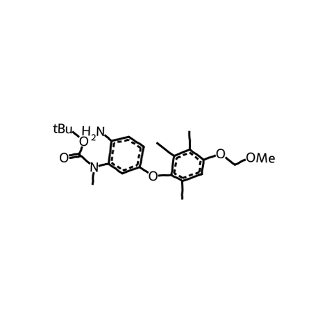 COCOc1cc(C)c(Oc2ccc(N)c(N(C)C(=O)OC(C)(C)C)c2)c(C)c1C